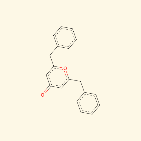 O=c1cc(Cc2ccccc2)oc(Cc2ccccc2)c1